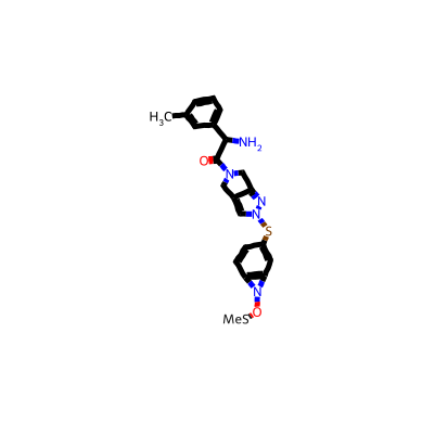 CSON1c2ccc(Sn3cc4c(n3)CN(C(=O)C(N)c3cccc(C)c3)C4)cc21